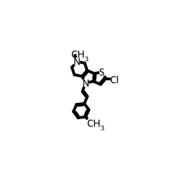 Cc1cccc(/C=C/n2c3c(c4sc(Cl)cc42)CN(C)CC3)c1